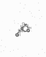 O=C(NCc1ccccc1)Nc1ccc2cc1CCc1cccc(c1)Nc1ncc(Cl)c(n1)N2